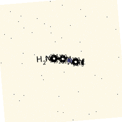 CN(C)c1ccc(/N=N/c2ccc(-c3ccc(N)cc3)cc2)cc1